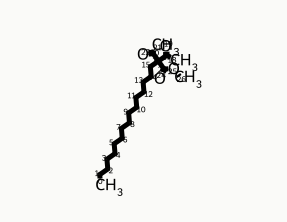 CCCCCCCCCCCCCCCCC(C(C)=O)(C(C)=O)C(=O)OC